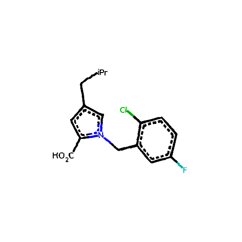 CC(C)Cc1cc(C(=O)O)n(Cc2cc(F)ccc2Cl)c1